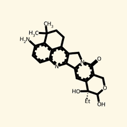 CC[C@]1(O)c2cc3n(c(=O)c2COC1O)Cc1c-3nc2ccc(N)c3c2c1CCC3(C)C